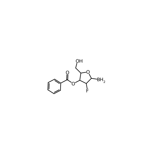 BC1OC(CO)C(OC(=O)c2ccccc2)C1F